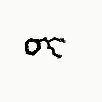 CCC(OCCBr)Oc1ccccc1